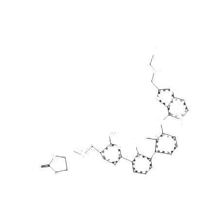 COc1nc(-c2cccc(-c3cccc(Oc4nccc5sc(CNCC(=O)O)nc45)c3Cl)c2Cl)ccc1CNC[C@@H]1CCC(=O)N1